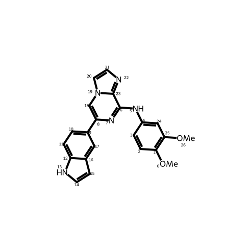 COc1ccc(Nc2nc(-c3ccc4[nH]ccc4c3)cn3ccnc23)cc1OC